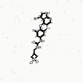 O=C(NCC1CS(=O)(=O)C1)Nc1cc(F)c(Oc2ccnc3[nH]cc(Br)c23)c(F)c1